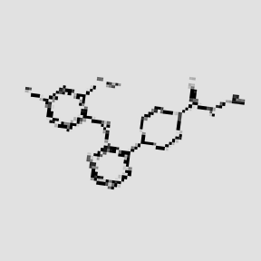 COc1cc(F)ccc1Oc1ncccc1C1CCN(C(=O)OC(C)(C)C)CC1